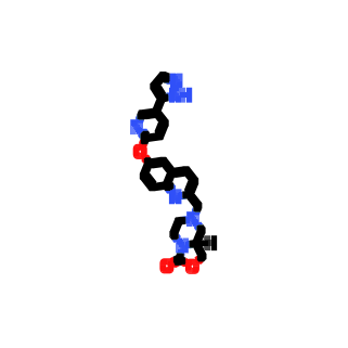 O=C1OC[C@@H]2CN(Cc3ccc4cc(Oc5ccc(-c6ccn[nH]6)cn5)ccc4n3)CCN12